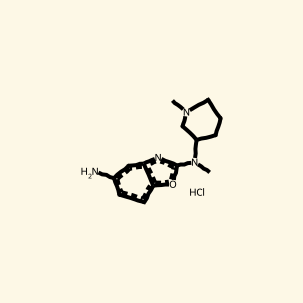 CN1CCCC(N(C)c2nc3cc(N)ccc3o2)C1.Cl